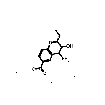 CCC1Oc2ccc([N+](=O)[O-])cc2C(N)C1O